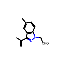 C=C(C)c1nn(CC=O)c2ccc(C)cc12